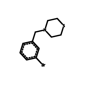 Brc1cccc(CN2CCSCC2)c1